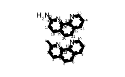 Cc1ccc2ccc3cccnc3c2n1.Nc1ccc2ccc3cccnc3c2n1